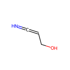 N=C=CCO